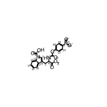 COC(=O)C(Cc1cn(C(=O)O)c2ccccc12)NC(=O)Oc1ccc([N+](=O)[O-])cc1